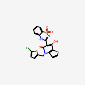 O=c1c(C2=NS(=O)(=O)c3ccccc3N2)c(O)c2sccc2n1Cc1ccc(Cl)s1